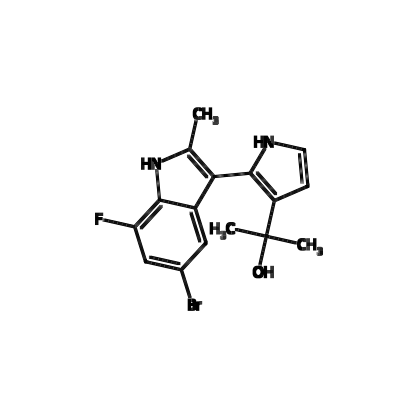 Cc1[nH]c2c(F)cc(Br)cc2c1-c1[nH]ccc1C(C)(C)O